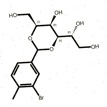 Cc1ccc(C2O[C@H]([C@H](O)CO)[C@H](O)[C@H](CO)O2)cc1Br